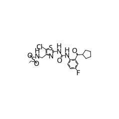 CS(=O)(=O)NCc1nc(NC(=O)Nc2ccc(F)cc2C(=O)C2CCCC2)sc1Cl